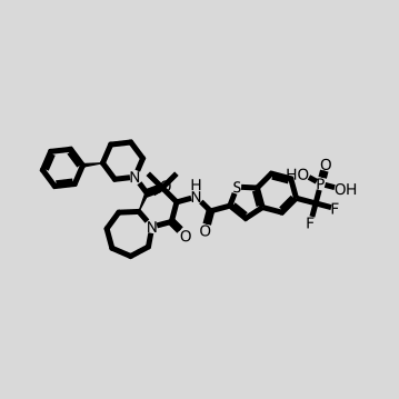 CC(C)(C)C(NC(=O)c1cc2cc(C(F)(F)P(=O)(O)O)ccc2s1)C(=O)N1CCCCC[C@H]1C(=O)N1CCC[C@H](c2ccccc2)C1